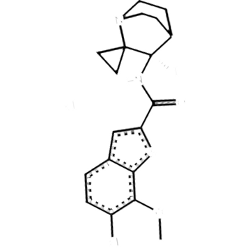 COc1c(Cl)ccc2cc(C(=O)N[C@@H]3C4CCN(CC4)C34CC4)sc12.Cl